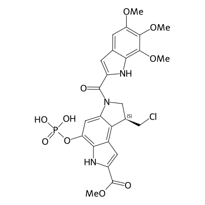 COC(=O)c1cc2c3c(cc(OP(=O)(O)O)c2[nH]1)N(C(=O)c1cc2cc(OC)c(OC)c(OC)c2[nH]1)C[C@H]3CCl